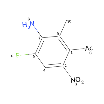 CC(=O)c1c([N+](=O)[O-])cc(F)c(N)c1C